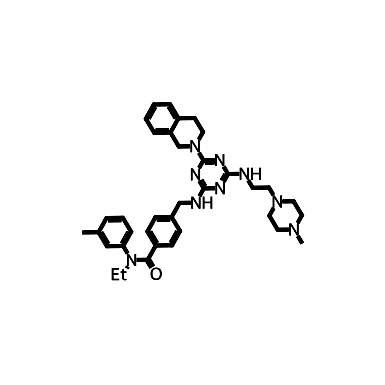 CCN(C(=O)c1ccc(CNc2nc(NCCN3CCN(C)CC3)nc(N3CCc4ccccc4C3)n2)cc1)c1cccc(C)c1